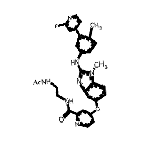 CC(=O)NCCNC(=O)c1cc(Oc2ccc3c(c2)nc(Nc2ccc(C)c(-c4ccnc(F)c4)c2)n3C)ccn1